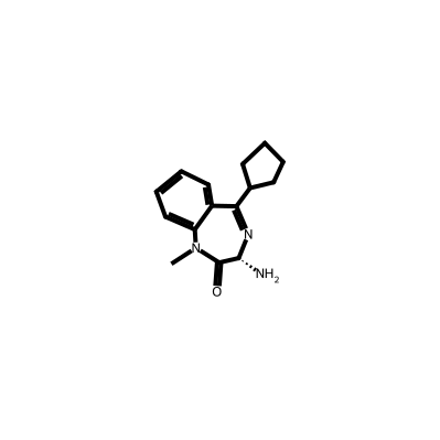 CN1C(=O)[C@@H](N)N=C(C2CCCC2)c2ccccc21